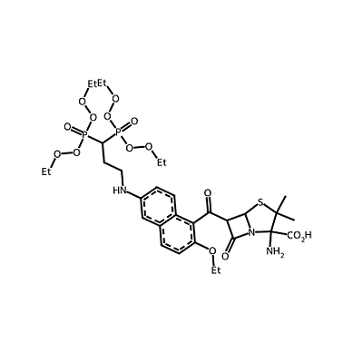 CCOOP(=O)(OOCC)C(CCNc1ccc2c(C(=O)C3C(=O)N4C3SC(C)(C)C4(N)C(=O)O)c(OCC)ccc2c1)P(=O)(OOCC)OOCC